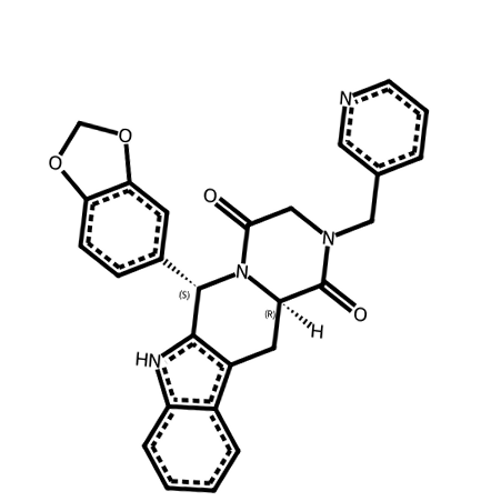 O=C1[C@H]2Cc3c([nH]c4ccccc34)[C@H](c3ccc4c(c3)OCO4)N2C(=O)CN1Cc1cccnc1